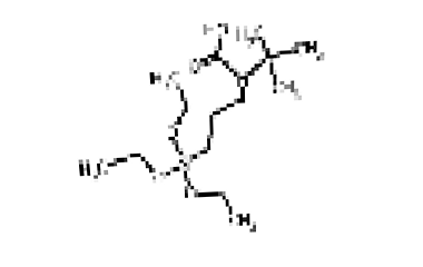 CCO[Si](CCCN(C(=O)O)C(C)(C)C)(OCC)OCC